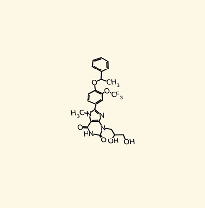 CC(Oc1ccc(-c2nc3c(c(=O)[nH]c(=O)n3CC(O)CO)n2C)cc1OC(F)(F)F)c1ccccc1